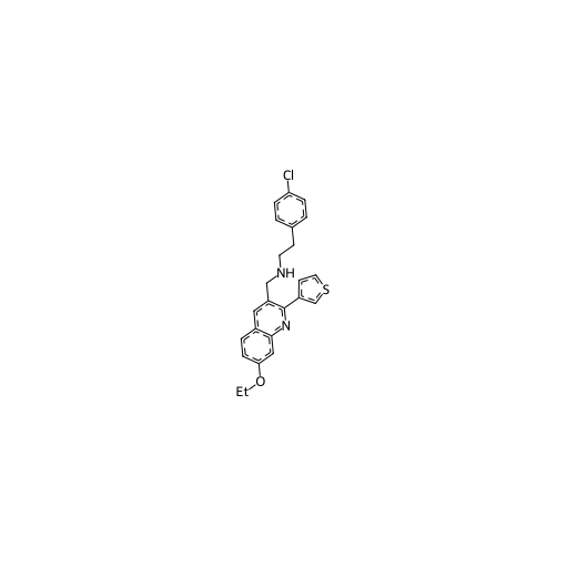 CCOc1ccc2cc(CNCCc3ccc(Cl)cc3)c(-c3ccsc3)nc2c1